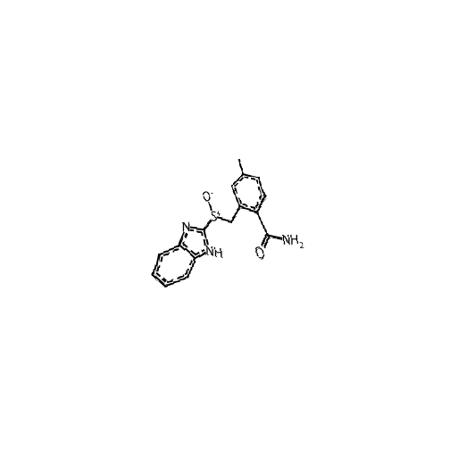 Cc1ccc(C(N)=O)c(C[S+]([O-])c2nc3ccccc3[nH]2)c1